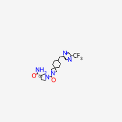 NC(=O)[C@H]1CCN(C(=O)N2CC3(CCC(Cc4cnc(C(F)(F)F)cn4)CC3)C2)C1